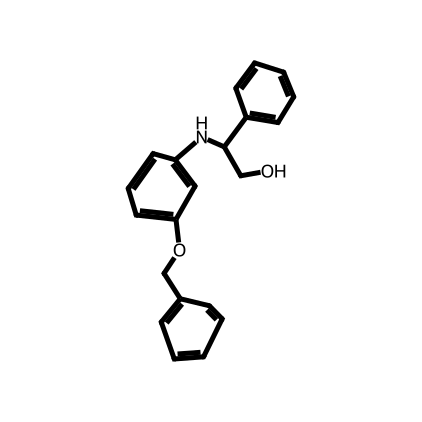 OCC(Nc1cccc(OCc2ccccc2)c1)c1ccccc1